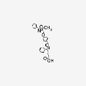 Cc1oc(-c2ccccc2)nc1COc1ccc(CON=C(CCCC(=O)O)c2ccccc2)cc1